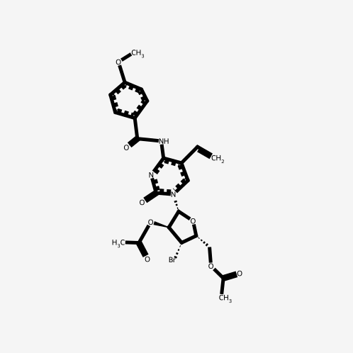 C=Cc1cn([C@@H]2O[C@H](COC(C)=O)[C@H](Br)[C@H]2OC(C)=O)c(=O)nc1NC(=O)c1ccc(OC)cc1